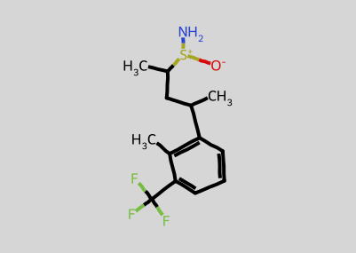 Cc1c(C(C)CC(C)[S+](N)[O-])cccc1C(F)(F)F